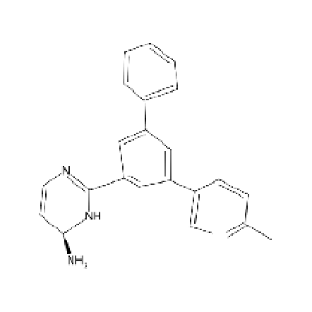 C=C(C)/C=C\C(=C/C)c1cc(C2=NC=C[C@H](N)N2)cc(-c2ccccc2)c1